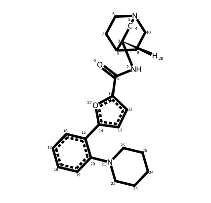 O=C(N[C@H]1CN2CCC1CC2)c1ccc(-c2ccccc2N2CCCCC2)o1